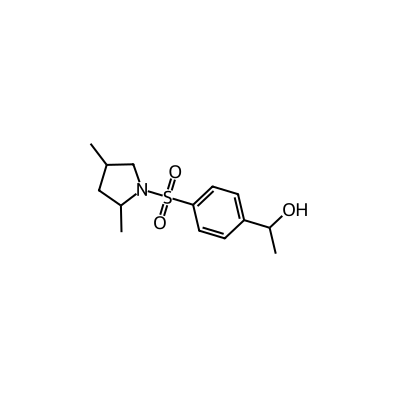 CC1CC(C)N(S(=O)(=O)c2ccc(C(C)O)cc2)C1